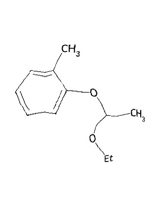 CCOC(C)Oc1ccccc1C